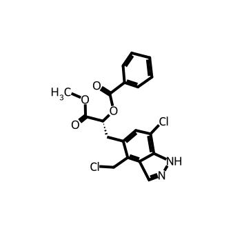 COC(=O)[C@@H](Cc1cc(Cl)c2[nH]ncc2c1CCl)OC(=O)c1ccccc1